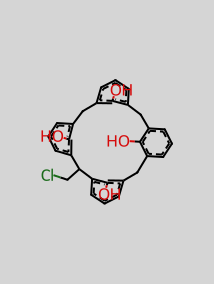 Oc1c2cccc1Cc1cccc(c1O)C(CCl)c1cccc(c1O)Cc1cccc(c1O)C2